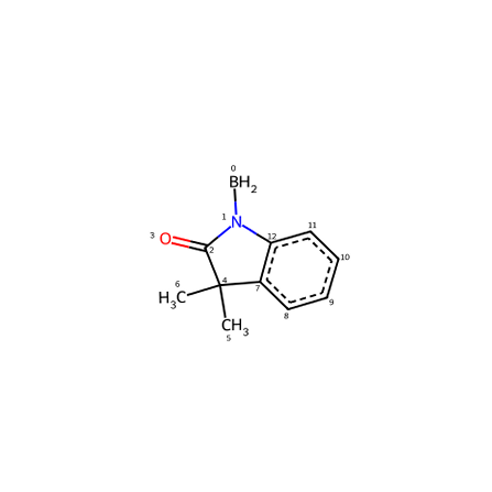 BN1C(=O)C(C)(C)c2ccccc21